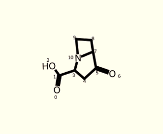 O=C(O)C1CC(=O)C2CCN12